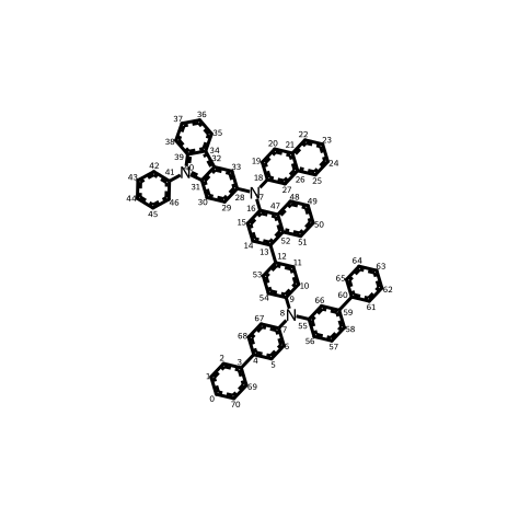 c1ccc(-c2ccc(N(c3ccc(-c4ccc(N(c5ccc6ccccc6c5)c5ccc6c(c5)c5ccccc5n6-c5ccccc5)c5ccccc45)cc3)c3cccc(-c4ccccc4)c3)cc2)cc1